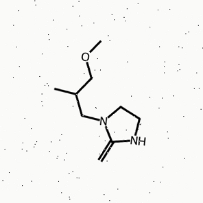 C=C1NCCN1CC(C)COC